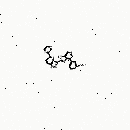 COc1cccc(-c2cncc3[nH]c(-c4n[nH]c5ccc(-c6cnccn6)nc45)nc23)c1